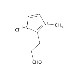 C[n+]1cc[nH]c1CCC=O.[Cl-]